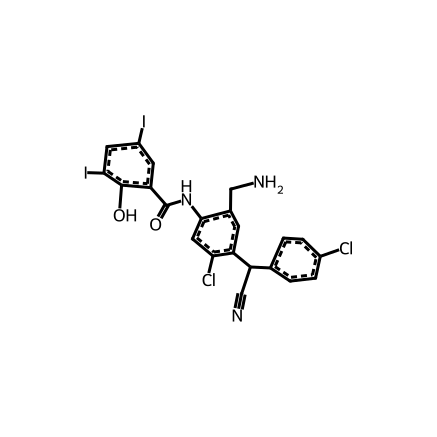 N#CC(c1ccc(Cl)cc1)c1cc(CN)c(NC(=O)c2cc(I)cc(I)c2O)cc1Cl